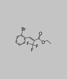 CCOC(=O)C(=Cc1ccccc1Br)C(F)(F)F